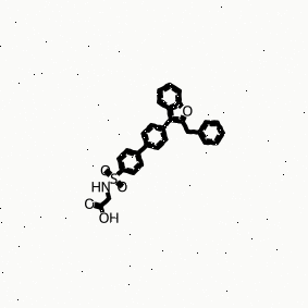 O=C(O)CNS(=O)(=O)c1ccc(-c2ccc(-c3c(Cc4ccccc4)oc4ccccc34)cc2)cc1